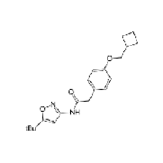 CC(C)(C)c1cc(NC(=O)Cc2ccc(OCC3CCC3)cc2)no1